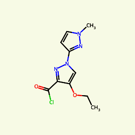 CCOc1cn(-c2ccn(C)n2)nc1C(=O)Cl